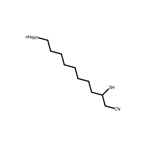 CCCCCCCCCCCCCCCC(S)CC#N